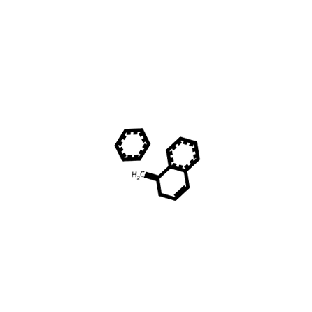 C=C1CC=Cc2ccccc21.c1ccccc1